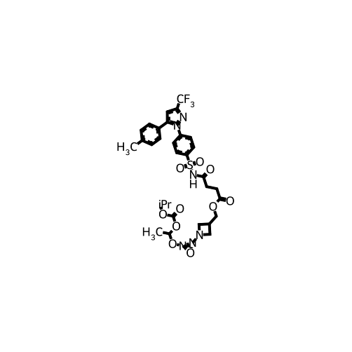 Cc1ccc(-c2cc(C(F)(F)F)nn2-c2ccc(S(=O)(=O)NC(=O)CCC(=O)OCC3CN(n4on4OC(C)OC(=O)OC(C)C)C3)cc2)cc1